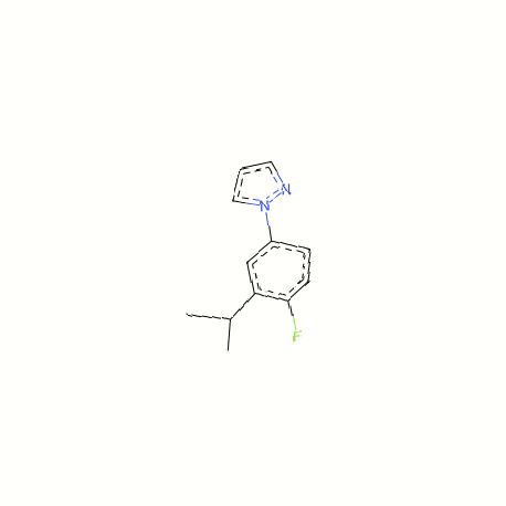 CC(C)c1cc(-n2cccn2)ccc1F